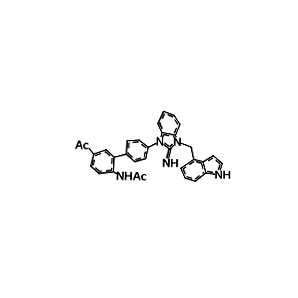 CC(=O)Nc1ccc(C(C)=O)cc1-c1ccc(-n2c(=N)n(Cc3cccc4[nH]ccc34)c3ccccc32)cc1